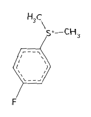 C[S+](C)c1ccc(F)cc1